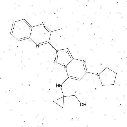 Cc1nc2ccccc2nc1-c1cc2nc(N3CCCC3)cc(NC3(CO)CC3)n2n1